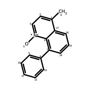 Cc1cc[n+]([O-])c2c(-c3ccccc3)cccc12